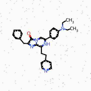 CCN(CC)c1ccc(-c2cn3c(=O)c(Cc4ccccc4)nc-3c(CCc3ccncc3)[nH]2)cc1